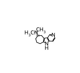 CN(C)[C@H]1CCCc2[nH]c3ccncc3c2C1